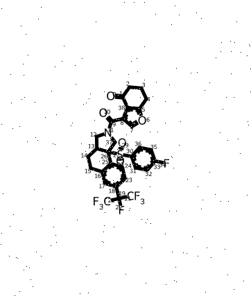 O=C1CCCc2occ(C(=O)N3CC4CCc5cc(C(F)(C(F)(F)F)C(F)(F)F)ccc5C4(S(=O)(=O)c4ccc(F)cc4)C3)c21